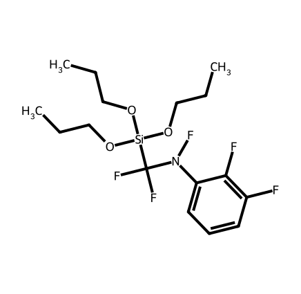 CCCO[Si](OCCC)(OCCC)C(F)(F)N(F)c1cccc(F)c1F